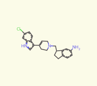 Nc1ccc2c(c1)C(CN1CC=C(c3c[nH]c4cc(Cl)ccc34)CC1)CC2